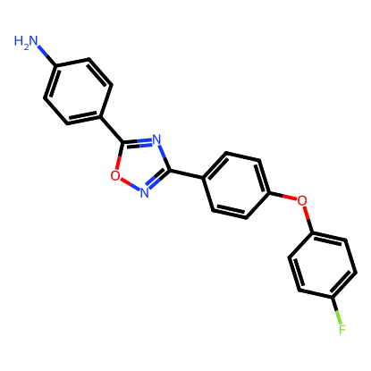 Nc1ccc(-c2nc(-c3ccc(Oc4ccc(F)cc4)cc3)no2)cc1